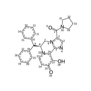 O=C(c1cnc2n1C[C@H](C(c1ccccc1)c1ccccc1)n1ccc(=O)c(O)c1-2)N1CCCC1